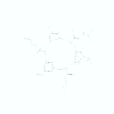 CCCCC(=O)N1Cc2cc(cc(NC)c2)CN(C(=O)CCCC)Cc2cc(cc(NC)c2)CN(C(=O)CCC(N)N)Cc2cc(cc(NC)c2)C1